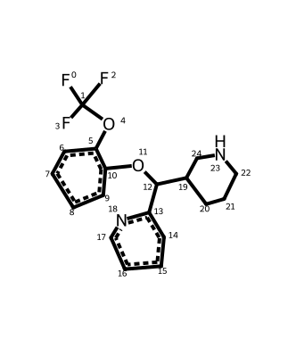 FC(F)(F)Oc1ccccc1OC(c1ccccn1)C1CCCNC1